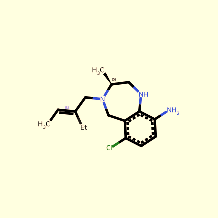 C/C=C(\CC)CN1Cc2c(Cl)ccc(N)c2NC[C@@H]1C